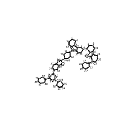 c1ccc2c3cc(-c4cccc5c4oc4c(-c6ccccc6)cccc45)ccc3n(-c3ccc(-c4nc5ccc(-c6nc(-c7ccccc7)nc(-c7ccccc7)n6)cc5o4)cc3)c2c#1